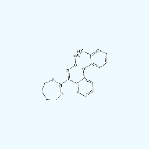 CON=C(C1=NCCCCO1)c1ccccc1Oc1ccccc1C